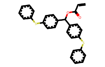 C=CC(=O)OC(c1ccc(Sc2ccccc2)cc1)c1ccc(Sc2ccccc2)cc1